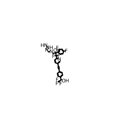 N=N/N=C\NCC(O)(c1ccc(F)cc1F)C(F)(F)c1ccc(C#Cc2ccc(C(O)C(F)(F)F)cc2)cn1